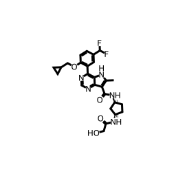 Cc1[nH]c2c(-c3cc(C(F)F)ccc3OCC3CC3)ncnc2c1C(=O)N[C@H]1CC[C@H](NC(=O)CO)C1